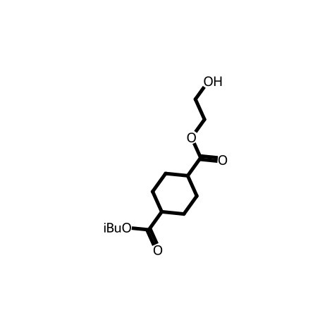 CC(C)COC(=O)C1CCC(C(=O)OCCO)CC1